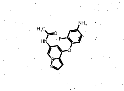 CC(=O)Nc1cc(Oc2ccc(N)cc2F)c2ccnn2c1